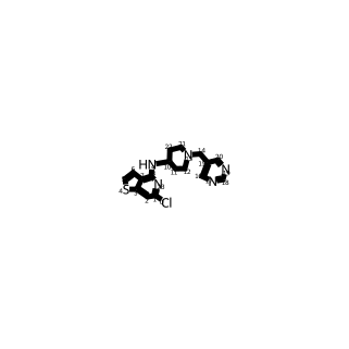 Clc1cc2sccc2c(NC2CCN(Cc3cncnc3)CC2)n1